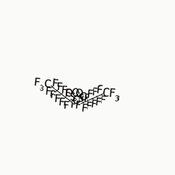 O=S(=O)(OS(=O)(=O)C(F)(F)C(F)(F)C(F)(F)C(F)(F)C(F)(F)C(F)(F)F)C(F)(F)C(F)(F)C(F)(F)C(F)(F)C(F)(F)C(F)(F)F